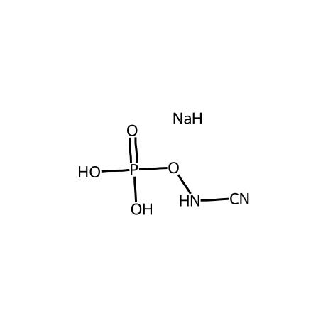 N#CNOP(=O)(O)O.[NaH]